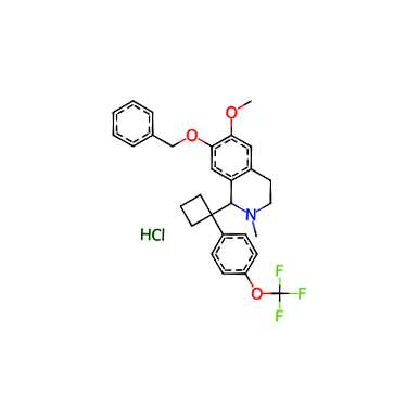 COc1cc2c(cc1OCc1ccccc1)C(C1(c3ccc(OC(F)(F)F)cc3)CCC1)N(C)CC2.Cl